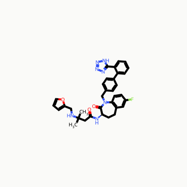 CC(C)(CC(=O)N[C@@H]1CCc2cc(F)ccc2N(Cc2ccc(-c3ccccc3-c3nnn[nH]3)cc2)C1=O)NCc1ccco1